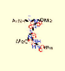 COC(=O)CN(CC(=O)NCCNC(C)=O)C(=O)CNC(=O)CNC(=O)CN(CC(=O)OC)C(=O)CNC(=O)CNC(=O)OC(C)(C)C